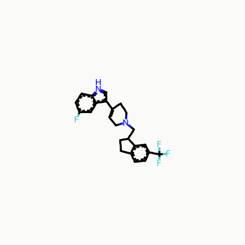 Fc1ccc2[nH]cc(C3=CCN(CC4CCc5ccc(C(F)(F)F)cc54)CC3)c2c1